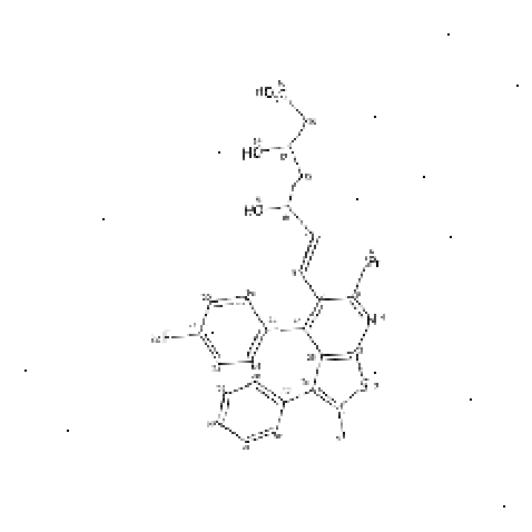 Cc1sc2nc(C(C)C)c(/C=C/C(O)CC(O)CC(=O)O)c(-c3ccc(F)cc3)c2c1-c1ccccc1